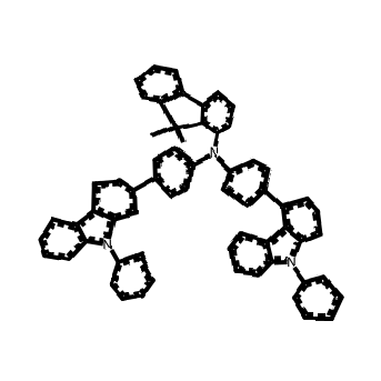 CC1(C)c2ccccc2-c2cccc(N(c3ccc(-c4ccc5c6ccccc6n(-c6ccccc6)c5c4)cc3)c3ccc(-c4cccc5c4c4ccccc4n5-c4ccccc4)cc3)c21